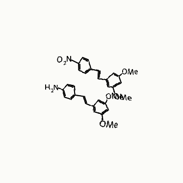 COc1cc(C=Cc2ccc(N)cc2)cc(OC)c1.COc1cc(C=Cc2ccc([N+](=O)[O-])cc2)cc(OC)c1